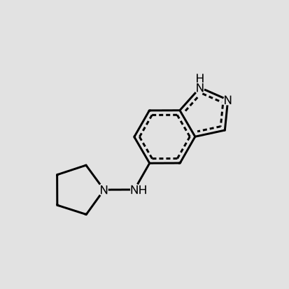 c1cc2[nH]ncc2cc1NN1CCCC1